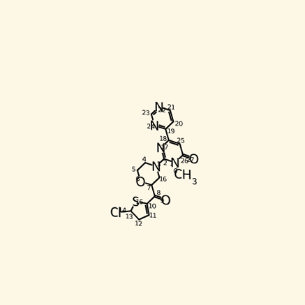 Cn1c(N2CCOC(C(=O)C3=CCC(Cl)S3)C2)nc(-c2ccncn2)cc1=O